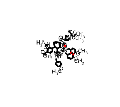 COc1ccc(CN(Cc2ccc(OC)cc2)S(=O)(=O)c2c(S(=O)(=O)C3CN(C(=O)OC(C)(C)C)C3)ccc(-c3ccc(C(=O)O)c4sc(N)nc34)c2-c2nnn(Cc3ccc(OC)cc3)n2)cc1